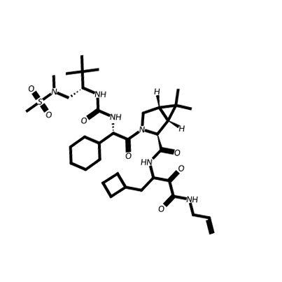 C=CCNC(=O)C(=O)C(CC1CCC1)NC(=O)[C@@H]1[C@@H]2[C@H](CN1C(=O)[C@@H](NC(=O)N[C@H](CN(C)S(C)(=O)=O)C(C)(C)C)C1CCCCC1)C2(C)C